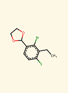 CCc1c(F)ccc(C2OCCO2)c1Br